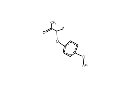 CCCOc1ccc(OC(F)C(=O)C(F)(F)F)cc1